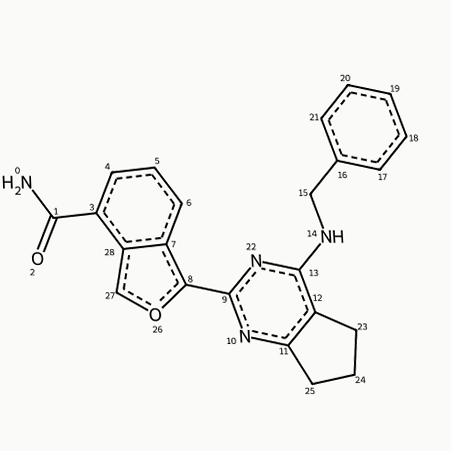 NC(=O)c1cccc2c(-c3nc4c(c(NCc5ccccc5)n3)CCC4)occ12